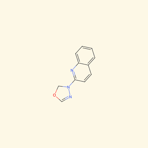 C1=NN(c2ccc3ccccc3n2)CO1